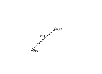 CCCCCCCCCCCCCCCCCCCCC(O)CCCCCCCC(=O)O